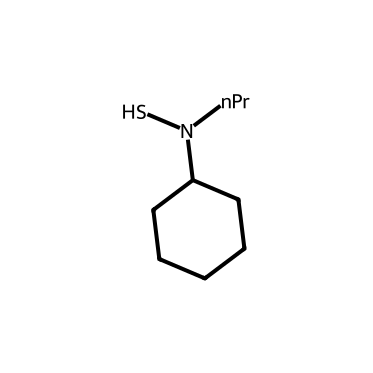 CCCN(S)C1CCCCC1